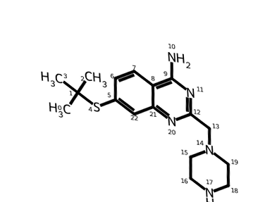 CC(C)(C)Sc1ccc2c(N)nc(CN3CCNCC3)nc2c1